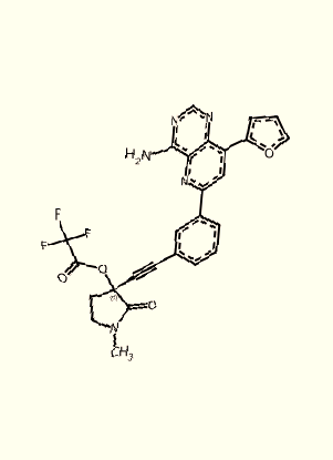 CN1CC[C@](C#Cc2cccc(-c3cc(-c4ccco4)c4ncnc(N)c4n3)c2)(OC(=O)C(F)(F)F)C1=O